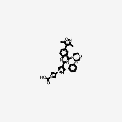 Cc1noc(C)c1-c1ccc2nc(-c3cnn(C4CN(C(=O)O)C4)c3)nc(N3CCOC[C@@H]3c3ccccc3)c2c1